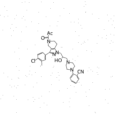 CC(=O)C(=O)N1CCc2c(c(-c3ccc(Cl)c(C)c3)nn2CC(O)CN2CCN(c3ccccc3C#N)CC2)C1